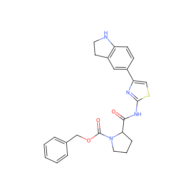 O=C(Nc1nc(-c2ccc3c(c2)CCN3)cs1)C1CCCN1C(=O)OCc1ccccc1